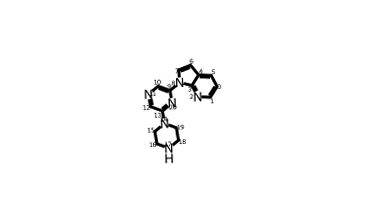 c1cnc2c(c1)ccn2-c1cncc(N2CCNCC2)n1